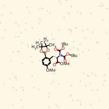 COC(=O)[C@H](Cc1cc(OC)ccc1B1OC(C)(C)C(C)(C)O1)N(C(=O)OC(C)(C)C)C(=O)OC(C)(C)C